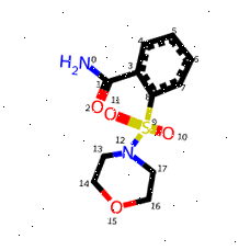 NC(=O)c1ccccc1S(=O)(=O)N1CCOCC1